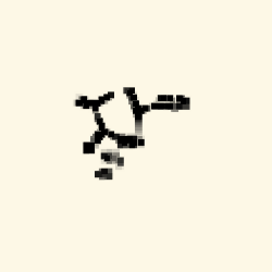 C=C(C)C(=O)OC.C=C(C)C(=O)OCC.Cl.N